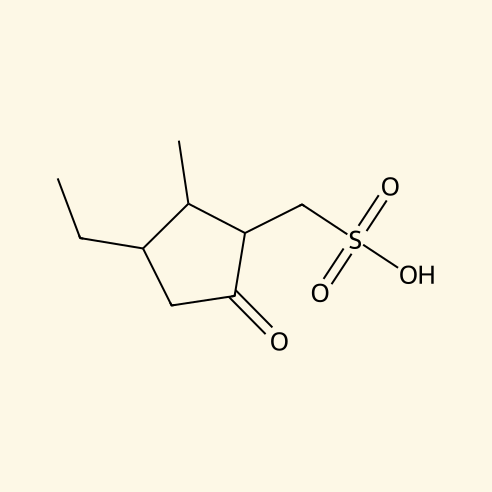 CCC1CC(=O)C(CS(=O)(=O)O)C1C